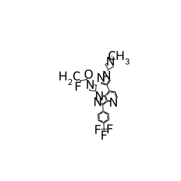 C=C(F)C(=O)N1CC(n2nc(-c3ccc(C(F)(F)F)cc3)c3nccc(-c4cnn(C5CN(C)C5)c4)c32)C1